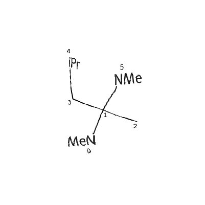 CNC(C)(CC(C)C)NC